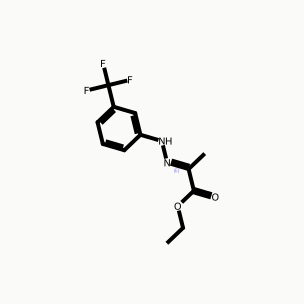 CCOC(=O)/C(C)=N/Nc1cccc(C(F)(F)F)c1